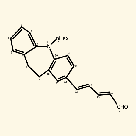 CCCCCCN1c2ccccc2CCc2cc(/C=C/C=C/C=O)ccc21